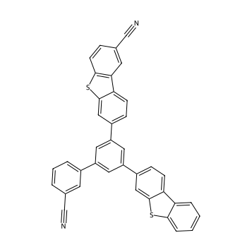 N#Cc1cccc(-c2cc(-c3ccc4c(c3)sc3ccccc34)cc(-c3ccc4c(c3)sc3ccc(C#N)cc34)c2)c1